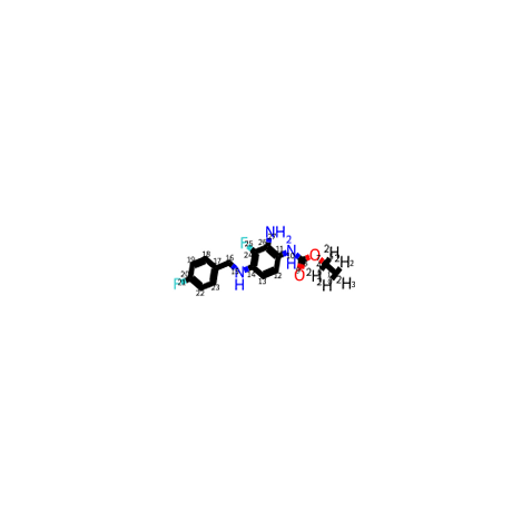 [2H]C([2H])([2H])C([2H])([2H])OC(=O)Nc1ccc(NCc2ccc(F)cc2)c(F)c1N